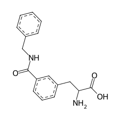 NC(Cc1cccc(C(=O)NCc2ccccc2)c1)C(=O)O